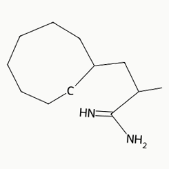 CC(CC1CCCCCCC1)C(=N)N